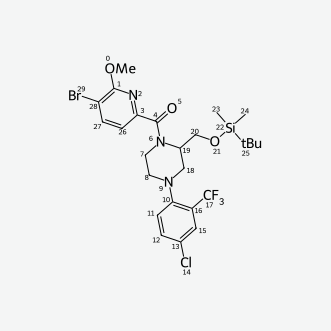 COc1nc(C(=O)N2CCN(c3ccc(Cl)cc3C(F)(F)F)CC2CO[Si](C)(C)C(C)(C)C)ccc1Br